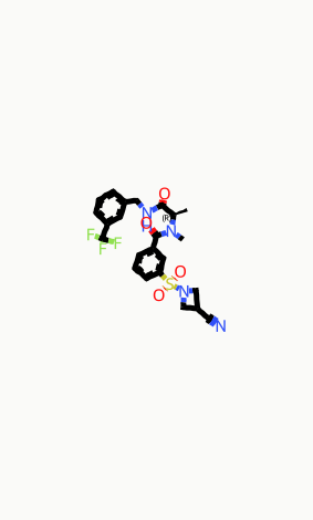 C[C@H](C(=O)NCc1cccc(C(F)(F)F)c1)N(C)C(=O)c1cccc(S(=O)(=O)N2CC(C#N)C2)c1